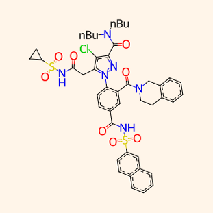 CCCCN(CCCC)C(=O)c1nn(-c2ccc(C(=O)NS(=O)(=O)c3ccc4ccccc4c3)cc2C(=O)N2CCc3ccccc3C2)c(CC(=O)NS(=O)(=O)C2CC2)c1Cl